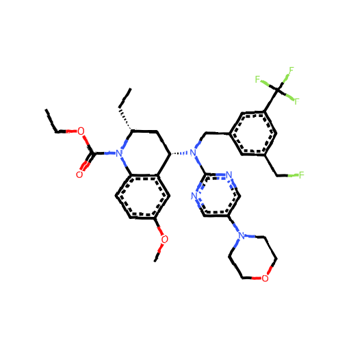 CCOC(=O)N1c2ccc(OC)cc2[C@@H](N(Cc2cc(CF)cc(C(F)(F)F)c2)c2ncc(N3CCOCC3)cn2)C[C@H]1CC